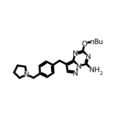 CCCCOc1nc(N)n2ncc(Cc3ccc(CN4CCCC4)cc3)c2n1